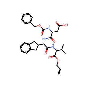 C=CCOC(=O)[C@@H](NC(=O)[C@@H](NC(=O)[C@H](CC(=O)O)NC(=O)OCc1ccccc1)C1Cc2ccccc2C1)C(C)C